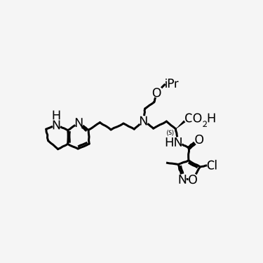 Cc1noc(Cl)c1C(=O)N[C@@H](CCN(CCCCc1ccc2c(n1)NCCC2)CCOC(C)C)C(=O)O